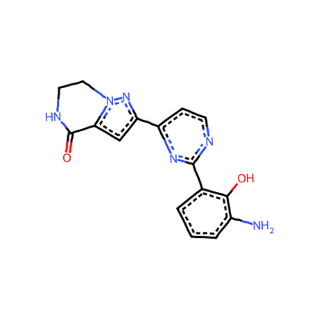 Nc1cccc(-c2nccc(-c3cc4n(n3)CCNC4=O)n2)c1O